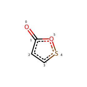 O=c1c[c]so1